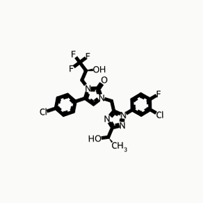 C[C@H](O)c1nc(Cn2cc(-c3ccc(Cl)cc3)n(C[C@H](O)C(F)(F)F)c2=O)n(-c2ccc(F)c(Cl)c2)n1